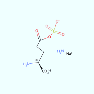 N.N[C@@H](CCC(=O)OS(=O)(=O)[O-])C(=O)O.[Na+]